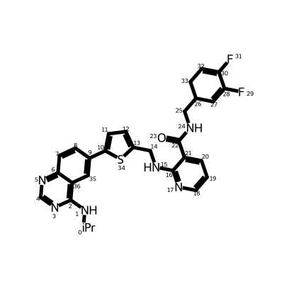 CC(C)Nc1ncnc2ccc(-c3ccc(CNc4ncccc4C(=O)NCC4C=C(F)C(F)=CC4)s3)cc12